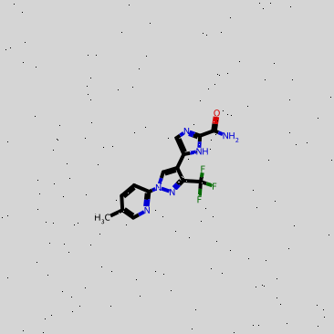 Cc1ccc(-n2cc(-c3cnc(C(N)=O)[nH]3)c(C(F)(F)F)n2)nc1